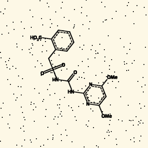 COc1cc(OC)nc(NC(=O)NS(=O)(=O)Cc2ccccc2C(=O)O)n1